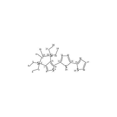 CC[Si](CC)(CC)c1csc(-c2ccc(-c3cccs3)s2)c1[Si](CC)(CC)CC